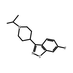 CC(C)N1CCC(c2nsc3cc(F)ccc23)CC1